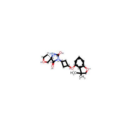 CC1(C)COc2cccc(OC3CC(N4C(=O)N[C@@]5(CCOC5)C4=O)C3)c21